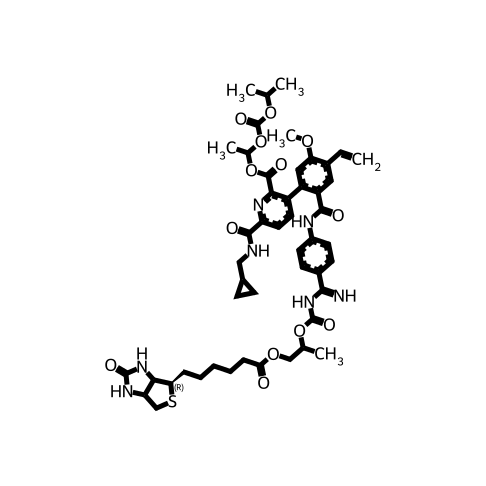 C=Cc1cc(C(=O)Nc2ccc(C(=N)NC(=O)OC(C)COC(=O)CCCCC[C@H]3SCC4NC(=O)NC43)cc2)c(-c2ccc(C(=O)NCC3CC3)nc2C(=O)OC(C)OC(=O)OC(C)C)cc1OC